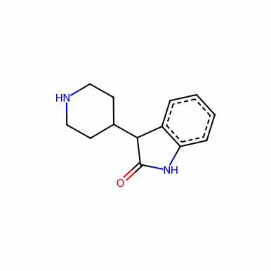 O=C1Nc2ccccc2C1C1CCNCC1